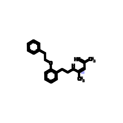 N=C(/C=C(\NCCc1ccccc1OCCc1ccccc1)C(F)(F)F)C(F)(F)F